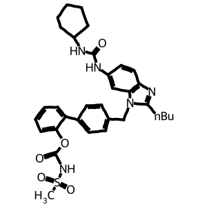 CCCCc1nc2ccc(NC(=O)NC3CCCCC3)cc2n1Cc1ccc(-c2ccccc2OC(=O)NS(C)(=O)=O)cc1